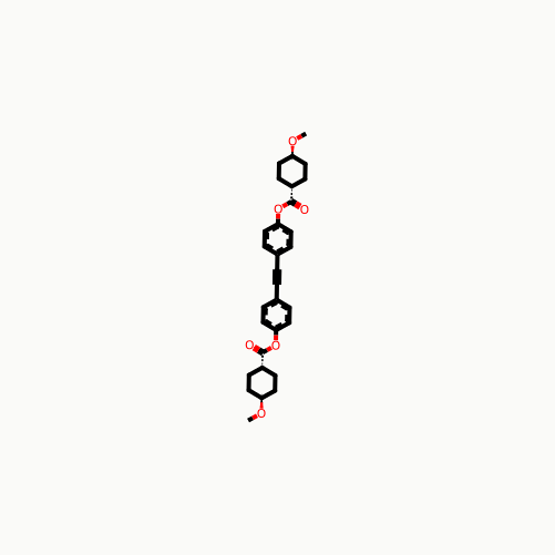 CO[C@H]1CC[C@H](C(=O)Oc2ccc(C#Cc3ccc(OC(=O)[C@H]4CC[C@H](OC)CC4)cc3)cc2)CC1